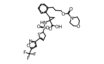 O=C(OCCCc1ccccc1C1CC1(NS(=O)(=O)C1CC=C(c2cc(C(F)(F)F)on2)S1)C(=O)O)N1CCOCC1